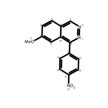 COc1ccc2cnnc(-c3ccc([N+](=O)[O-])cc3)c2c1